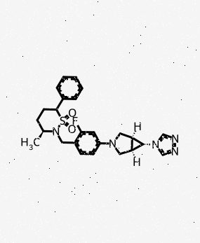 C[C@H]1CCC(c2ccccc2)S(=O)(=O)N1Cc1ccc(N2C[C@@H]3[C@H](C2)[C@H]3n2cnnc2)cc1F